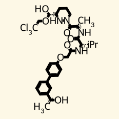 CC(C)[C@H](NC(=O)COc1ccc(-c2cccc([C@@H](C)O)c2)cc1)C(=O)N[C@@H](C)C(=O)N1CCC[C@@H](C(O)OCC(Cl)(Cl)Cl)N1